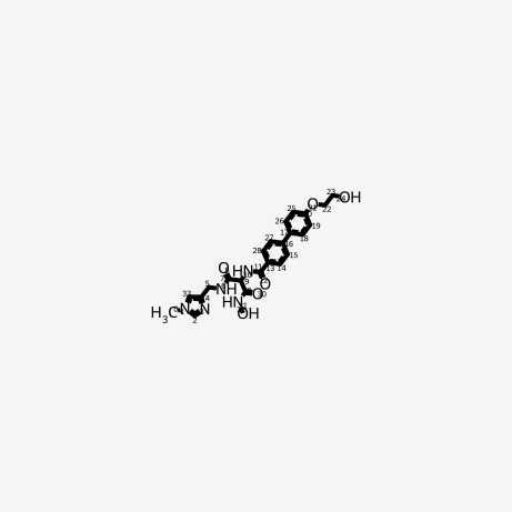 Cn1cnc(CNC(=O)C(NC(=O)c2ccc(-c3ccc(OCCO)cc3)cc2)C(=O)NO)c1